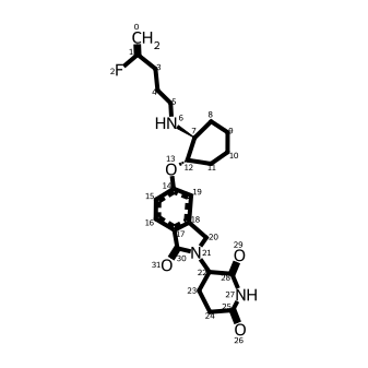 C=C(F)CCCN[C@H]1CCCC[C@@H]1Oc1ccc2c(c1)CN(C1CCC(=O)NC1=O)C2=O